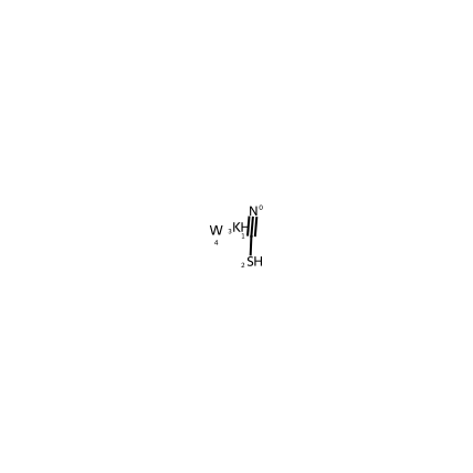 N#CS.[KH].[W]